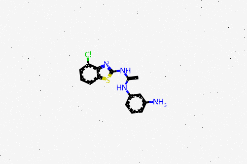 C=C(Nc1cccc(N)c1)Nc1nc2c(Cl)cccc2s1